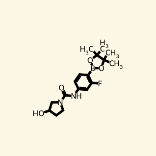 CC1(C)OB(c2ccc(NC(=O)N3CCC(O)C3)cc2F)OC1(C)C